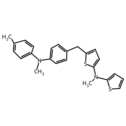 Cc1ccc(N(C)c2ccc(Cc3ccc(N(C)c4cccs4)s3)cc2)cc1